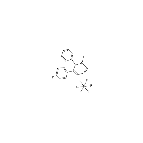 CN1C=CC=C(c2ccccc2)C1c1ccccc1.F[P-](F)(F)(F)(F)F.[H+]